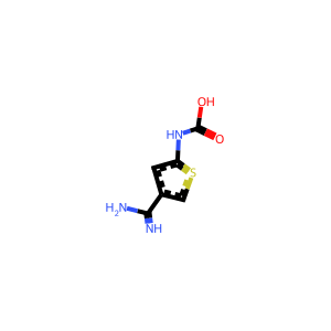 N=C(N)c1csc(NC(=O)O)c1